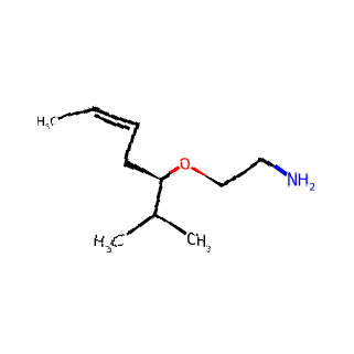 C/C=C\C[C@@H](OCCN)C(C)C